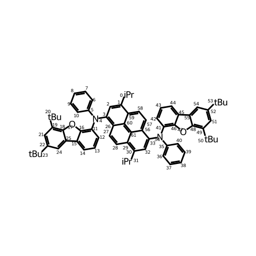 CC(C)c1cc(N(c2ccccc2)c2cccc3c2oc2c(C(C)(C)C)cc(C(C)(C)C)cc23)c2ccc3c(C(C)C)cc(N(c4ccccc4)c4cccc5c4oc4c(C(C)(C)C)cc(C(C)(C)C)cc45)c4ccc1c2c34